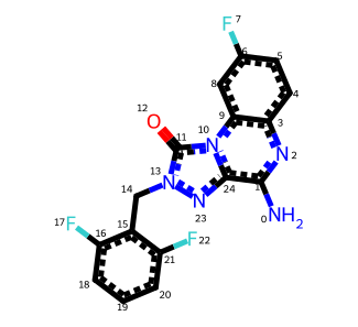 Nc1nc2ccc(F)cc2n2c(=O)n(Cc3c(F)cccc3F)nc12